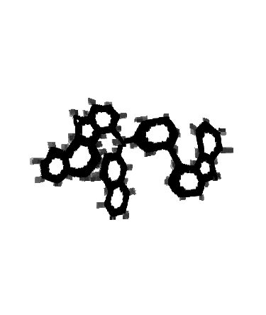 c1cc(-c2cccc3sc4ccccc4c23)cc(N(c2ccc3ccccc3c2)c2cccc3oc4c5ccccc5ccc4c23)c1